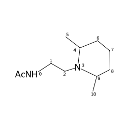 [CH2]C(=O)NCCN1C(C)CCCC1C